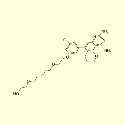 Nc1nc(N)c2c3c(c(-c4cc(Cl)cc(OCCOCCOCCOCCO)c4)cc2n1)CCCO3